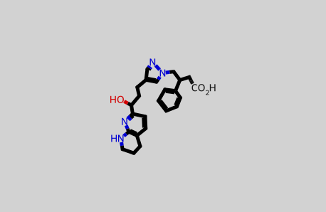 O=C(O)CC(Cn1cc(CCC(O)c2ccc3c(n2)NCCC3)cn1)c1ccccc1